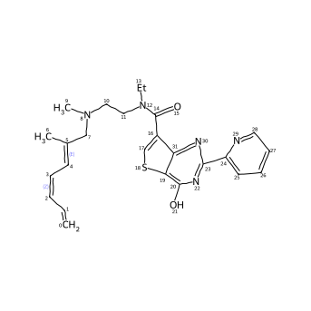 C=C/C=C\C=C(/C)CN(C)CCN(CC)C(=O)c1csc2c(O)nc(-c3ccccn3)nc12